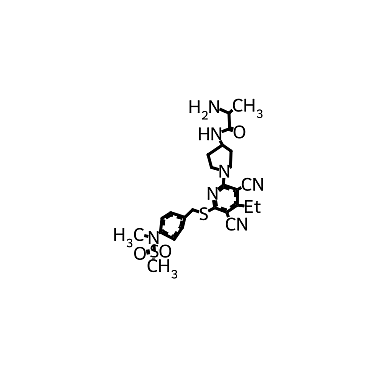 CCc1c(C#N)c(SCc2ccc(N(C)S(C)(=O)=O)cc2)nc(N2CCC(NC(=O)C(C)N)CC2)c1C#N